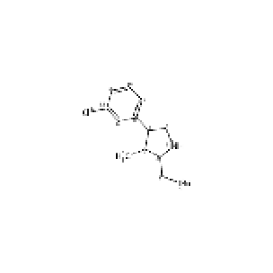 CC1C(CC(C)(C)C)NCC1c1cccc(Cl)c1